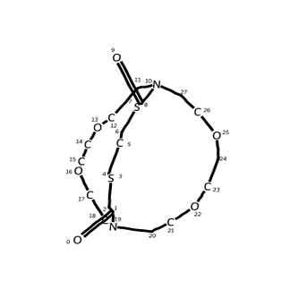 O=C1CSCCCSC(=O)N2CCOCCOCCN1CCOCCOCC2